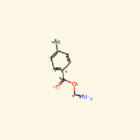 CC(=O)c1ccc(C(=O)OCN)cc1